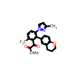 COC(=O)C(=O)c1c(C(F)(F)F)ccc(-n2ccc(C)n2)c1-c1ccc2c(c1)CCCO2